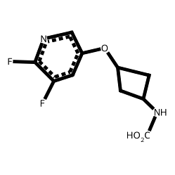 O=C(O)NC1CC(Oc2cnc(F)c(F)c2)C1